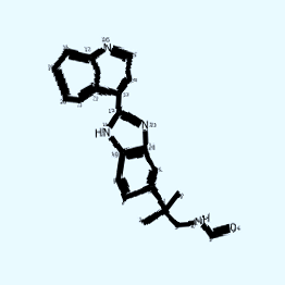 CC(C)(CNC=O)c1ccc2[nH]c(-c3ccnc4ccccc34)nc2c1